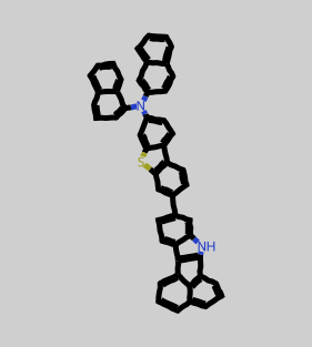 c1ccc2cc(N(c3ccc4c(c3)sc3cc(-c5ccc6c7c([nH]c6c5)-c5cccc6cccc-7c56)ccc34)c3cccc4ccccc34)ccc2c1